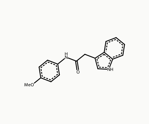 COc1ccc(NC(=O)Cc2c[nH]c3ccccc23)cc1